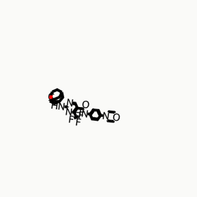 O=C(Nc1ccc(N2CCOCC2)cc1)c1cnc(NC23CCC4CC(CC(C4)C2)C3)nc1C(F)(F)F